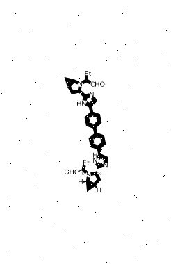 CCC([C]=O)N1C(c2ncc(-c3ccc(-c4ccc(-c5cnc([C@@H]6C[C@@H]7C[C@@H]7N6[C@H]([C]=O)CC)[nH]5)cc4)cc3)[nH]2)CC2CC21